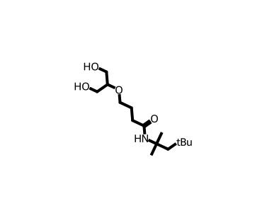 CC(C)(C)CC(C)(C)NC(=O)CCCOC(CO)CO